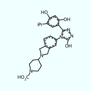 CC(C)c1cc(-c2nnc(O)n2-c2ccc3c(c2)CN(C2CCN(C(=O)O)CC2)C3)c(O)cc1O